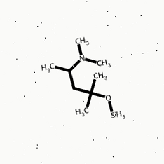 CC(CC(C)(C)O[SiH3])N(C)C